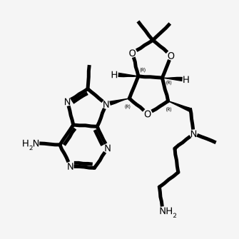 Cc1nc2c(N)ncnc2n1[C@@H]1O[C@H](CN(C)CCCN)[C@H]2OC(C)(C)O[C@H]21